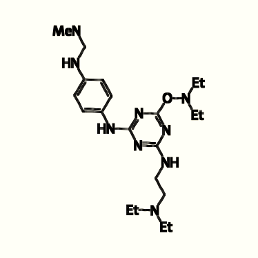 CCN(CC)CCNc1nc(Nc2ccc(NCNC)cc2)nc(ON(CC)CC)n1